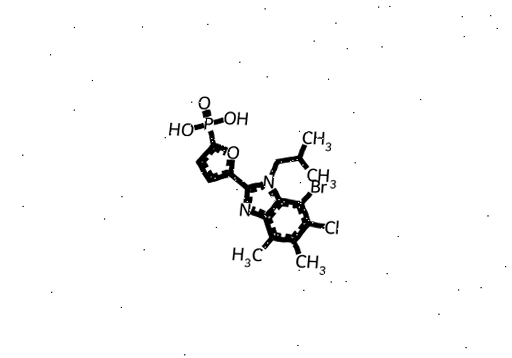 Cc1c(Cl)c(Br)c2c(nc(-c3ccc(P(=O)(O)O)o3)n2CC(C)C)c1C